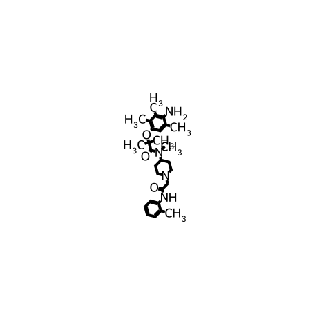 Cc1ccccc1NC(=O)CN1CCC(N(C)C(=O)C(C)(C)Oc2cc(C)c(N)c(C)c2C)CC1